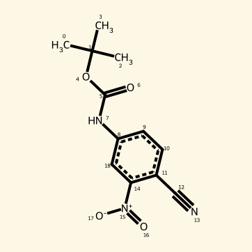 CC(C)(C)OC(=O)Nc1ccc(C#N)c([N+](=O)[O-])c1